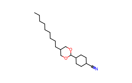 CCCCCCCCCC1COC(C2CCC(C#N)CC2)OC1